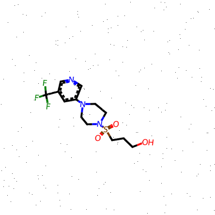 O=S(=O)(CCCO)N1CCN(c2cncc(C(F)(F)F)c2)CC1